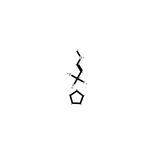 C1CCCC1.COC=CC(F)(F)F